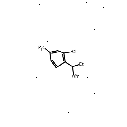 CCCC(CC)c1ccc(C(F)(F)F)cc1Cl